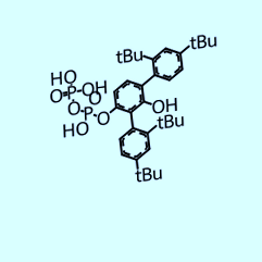 CC(C)(C)c1ccc(-c2ccc(OP(=O)(O)OP(=O)(O)O)c(-c3ccc(C(C)(C)C)cc3C(C)(C)C)c2O)c(C(C)(C)C)c1